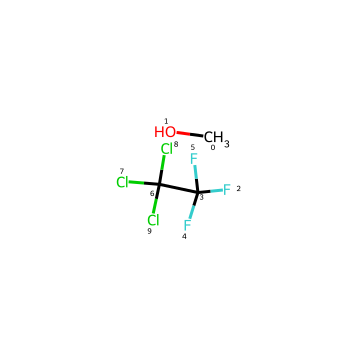 CO.FC(F)(F)C(Cl)(Cl)Cl